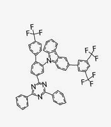 FC(F)(F)c1ccc(-c2ccc(-c3nc(-c4ccccc4)nc(-c4ccccc4)n3)cc2-n2c3ccccc3c3cc(-c4cc(C(F)(F)F)cc(C(F)(F)F)c4)ccc32)cc1